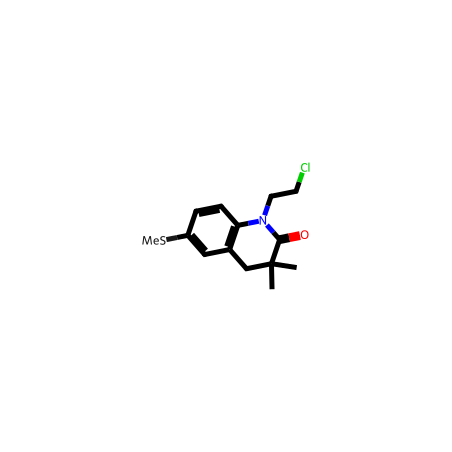 CSc1ccc2c(c1)CC(C)(C)C(=O)N2CCCl